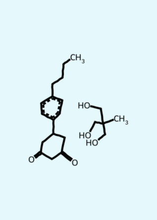 CC(CO)(CO)CO.CCCCc1ccc(C2CC(=O)CC(=O)C2)cc1